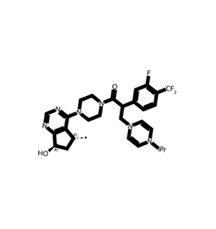 CC(C)N1C=CN(CC(C(=O)N2CCN(c3ncnc4c3[C@H](C)C[C@H]4O)CC2)c2ccc(C(F)(F)F)c(F)c2)C=C1